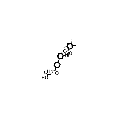 Cc1cc(S(=O)(=O)Nc2cccc(-c3ccc(C(=O)NCC(=O)O)cc3)c2)c(C)cc1Cl